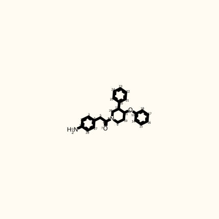 Nc1ccc(CC(=O)N2CCC(Oc3ccccc3)C(c3ccccc3)C2)cc1